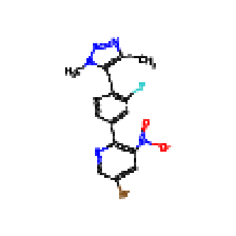 Cc1nnn(C)c1-c1ccc(-c2ncc(Br)cc2[N+](=O)[O-])cc1F